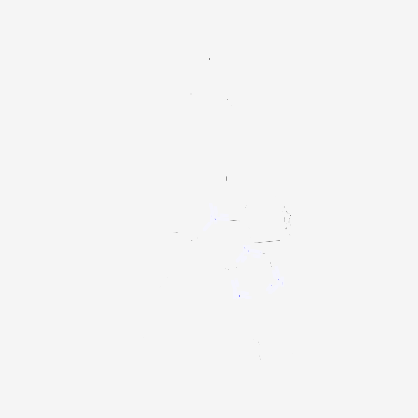 Cc1cc(C)c(-c2ccc3c(c2)c2ccccc2n3-c2ccc(-c3cc(F)cc(F)c3)cc2-c2nc(-c3ccccc3)nc(-c3ccccc3)n2)c(C)c1